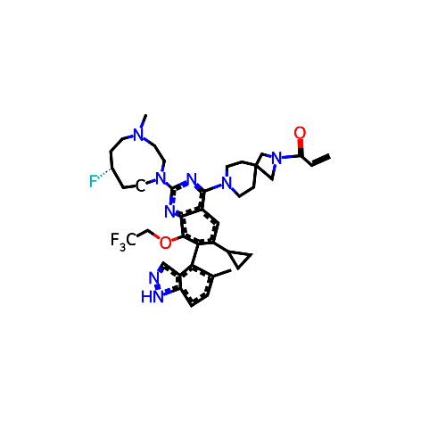 C=CC(=O)N1CC2(CCN(c3nc(N4CC[C@H](F)CCN(C)CC4)nc4c(OCC(F)(F)F)c(-c5c(C)ccc6[nH]ncc56)c(C5CC5)cc34)CC2)C1